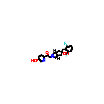 O=C(CN1C[C@@H]2CC(O)(Cc3c(F)cccc3F)C[C@@H]2C1)c1ccc(O)cn1